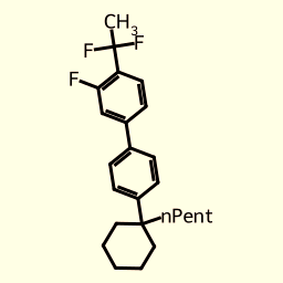 CCCCCC1(c2ccc(-c3ccc(C(C)(F)F)c(F)c3)cc2)CCCCC1